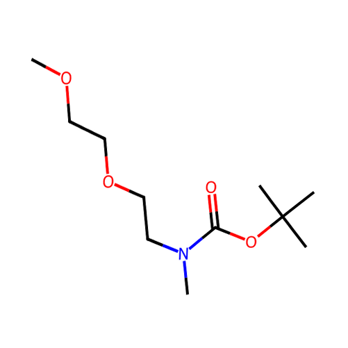 COCCOCCN(C)C(=O)OC(C)(C)C